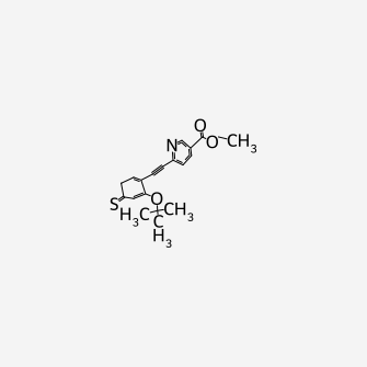 CCOC(=O)c1ccc(C#CC2=CCC(=S)C=C2OC(C)(C)C)nc1